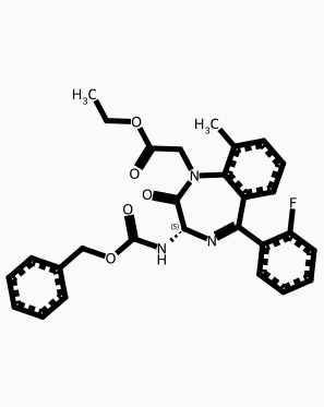 CCOC(=O)CN1C(=O)[C@@H](NC(=O)OCc2ccccc2)N=C(c2ccccc2F)c2cccc(C)c21